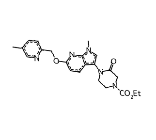 CCOC(=O)N1CCN(c2cn(C)c3nc(OCc4ccc(C)cn4)ccc23)C(=O)C1